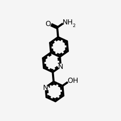 NC(=O)c1ccc2nc(-c3ncccc3O)ccc2c1